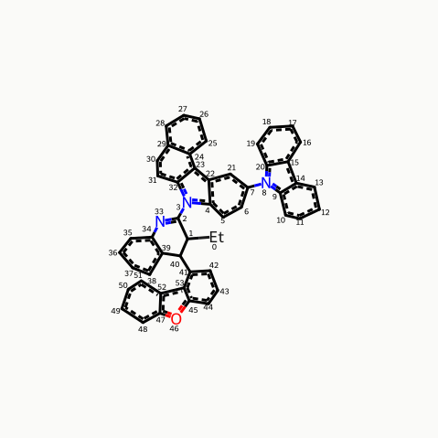 CCC1C(n2c3ccc(-n4c5ccccc5c5ccccc54)cc3c3c4ccccc4ccc32)=Nc2ccccc2C1c1cccc2oc3ccccc3c12